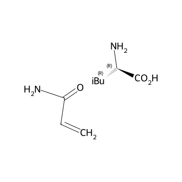 C=CC(N)=O.CC[C@@H](C)[C@@H](N)C(=O)O